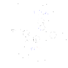 COc1ccc(-c2cc(C(=O)NCC3CC3)ccc2Cn2cc(Cc3ccccc3)c3cc(C(=N)N)ccc32)c(C(=O)O)c1